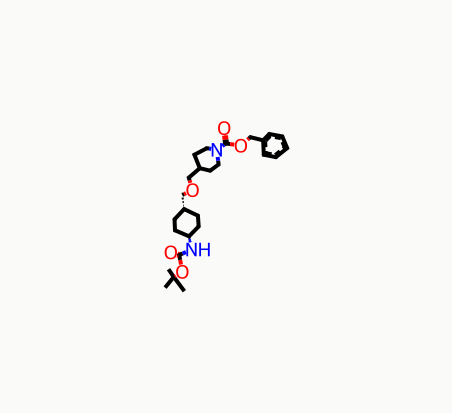 CC(C)(C)OC(=O)N[C@H]1CC[C@H](COCC2CCN(C(=O)OCc3ccccc3)CC2)CC1